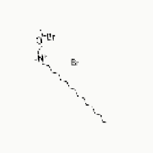 CCCCCCCCCCCCCCCC[N+](C)(C)CCOC(C)Br.[Br-]